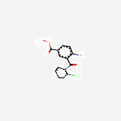 COC(=O)c1ccc(N)c(C(=O)c2ccccc2Cl)c1